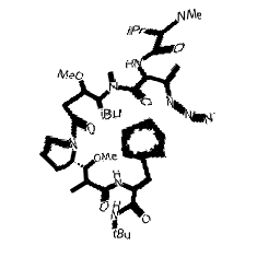 CCC(C)C(C(CC(=O)N1CCC[C@H]1C(OC)C(C)C(=O)NC(Cc1ccccc1)C(=O)NC(C)(C)C)OC)N(C)C(=O)C(NC(=O)C(NC)C(C)C)C(C)N=[N+]=[N-]